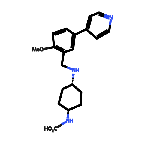 COc1ccc(-c2ccncc2)cc1CN[C@H]1CC[C@H](NC(=O)O)CC1